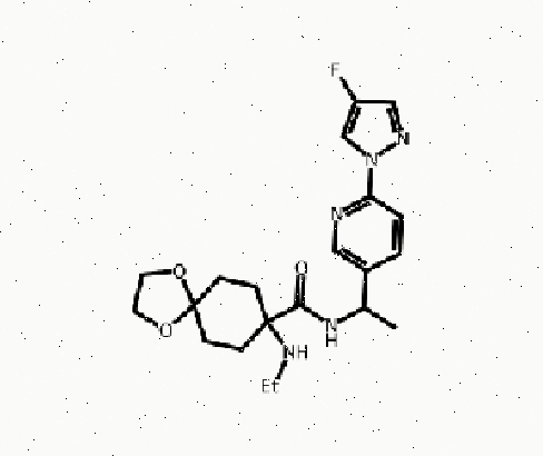 CCNC1(C(=O)NC(C)c2ccc(-n3cc(F)cn3)nc2)CCC2(CC1)OCCO2